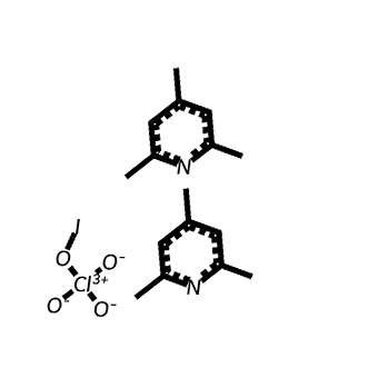 Cc1cc(C)nc(C)c1.Cc1cc(C)nc(C)c1.[O-][Cl+3]([O-])([O-])OI